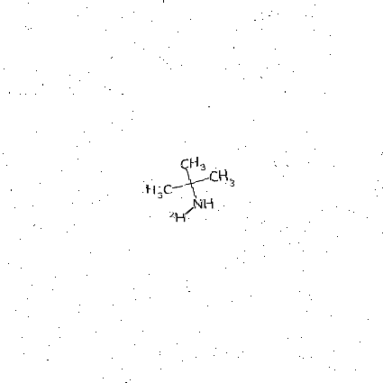 [2H]NC(C)(C)C